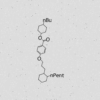 CCCCCC1CCCCC1CCCOc1ccc(C(=O)OC2CCC(CCCC)CC2)cc1